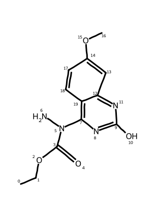 CCOC(=O)N(N)c1nc(O)nc2cc(OC)ccc12